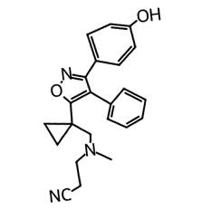 CN(CCC#N)CC1(c2onc(-c3ccc(O)cc3)c2-c2ccccc2)CC1